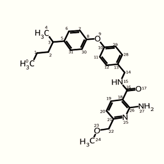 CCCC(C)c1ccc(Oc2ccc(CNC(=O)c3ccc(COC)nc3N)cc2)cc1